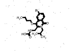 CCCCOc1c(CNC(=O)O)n(CC(C)C)c(=O)c2ccc(Br)cc12